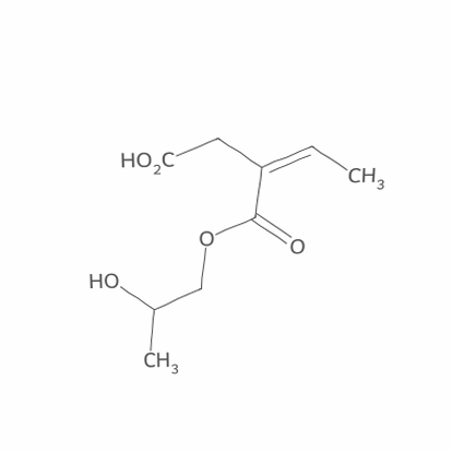 CC=C(CC(=O)O)C(=O)OCC(C)O